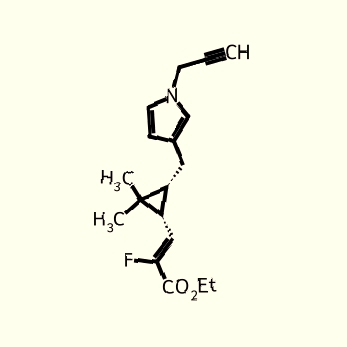 C#CCn1ccc(C[C@@H]2[C@H](C=C(F)C(=O)OCC)C2(C)C)c1